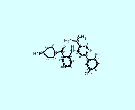 CC(C)c1cnc(-c2cc(Cl)ccc2F)cc1Nc1ccncc1C(=O)N1CCC(O)CC1